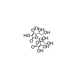 CCOC1=C(O)C(=O)O[C@@H]1[C@@H](O)CO.CC[C@]1([C@@H](O)CO)OC(=O)C(O)=C1O